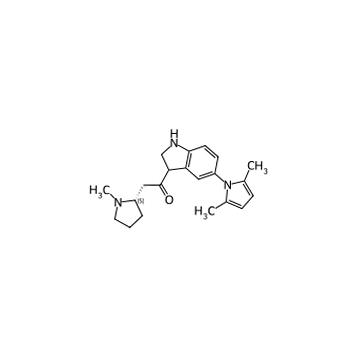 Cc1ccc(C)n1-c1ccc2c(c1)C(C(=O)C[C@@H]1CCCN1C)CN2